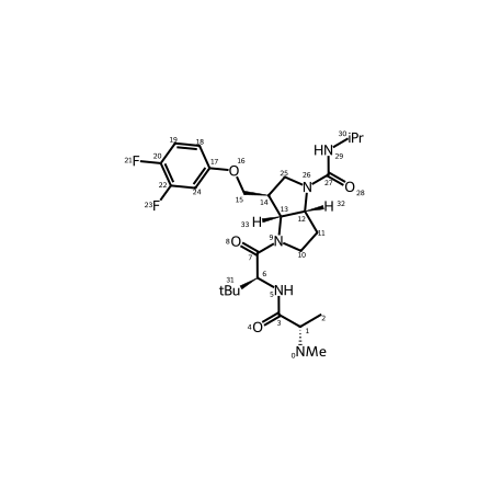 CN[C@@H](C)C(=O)N[C@H](C(=O)N1CC[C@@H]2[C@H]1[C@@H](COc1ccc(F)c(F)c1)CN2C(=O)NC(C)C)C(C)(C)C